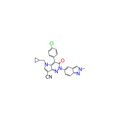 Cn1cc2cc(-n3nc4c(C#N)cn(CC5CC5)c4c(-c4ccc(Cl)cc4)c3=O)ccc2n1